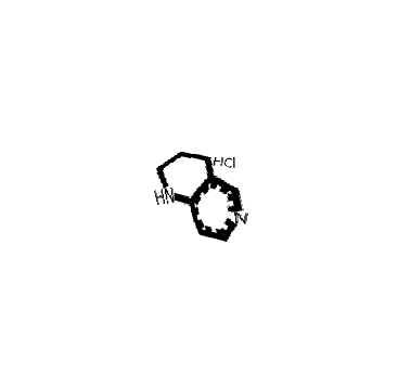 Cl.c1cc2c(cn1)CCCN2